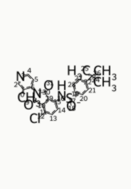 Cc1cnccc1N1C(=O)c2c(Cl)ccc(N[S+]([O-])c3ccc(C(C)(C)C)cc3)c2C1=O